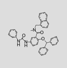 CN(Cc1cccc2ccccc12)C(=O)c1cc(NC(=O)Nc2ccccc2)ccc1OC(c1ccccc1)c1ccccc1